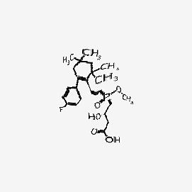 COP(=O)(C=CC1=C(c2ccc(F)cc2)CC(C)(C)CC1(C)C)C[C@@H](O)CC(=O)O